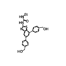 CCNC(=O)Nc1nc2cc(-c3ccc(CO)cc3)cc(-c3ccc(CO)cc3)c2s1